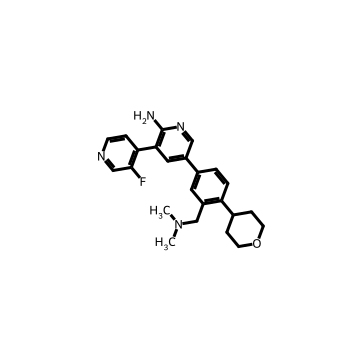 CN(C)Cc1cc(-c2cnc(N)c(-c3ccncc3F)c2)ccc1C1CCOCC1